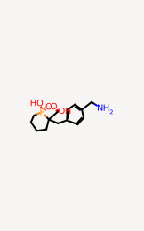 NCc1ccc(CC2(C(=O)O)CCCCP2(=O)O)cc1